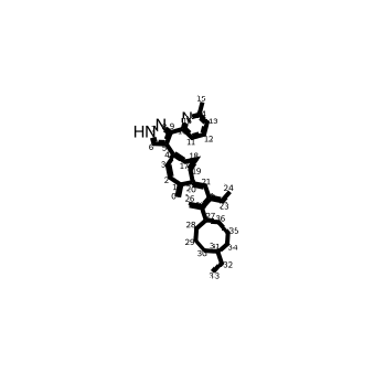 C=C1\C=C/C(c2c[nH]nc2-c2cccc(C)n2)=C/C=C/C1=C/C(=C\C)C(=C)C1CCCC(CC)CCC1